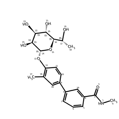 CNC(=O)c1cccc(-c2ccc(O[C@H]3O[C@H]([C@@H](C)O)[C@@H](O)[C@H](O)[C@@H]3O)c(C)c2)c1